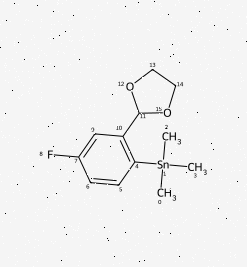 [CH3][Sn]([CH3])([CH3])[c]1ccc(F)cc1C1OCCO1